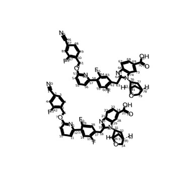 N#Cc1ccc(COc2cccc(-c3cc(F)c(Cc4nc5ccc(C(=O)O)cc5n4[C@H]4C[C@H]5CO[C@@H]4C5)cc3F)n2)c(F)c1.N#Cc1ccc(COc2cccc(-c3cc(F)c(Cc4nc5ccc(C(=O)O)cc5n4[C@H]4C[C@H]5CO[C@@H]4C5)cc3F)n2)c(F)c1